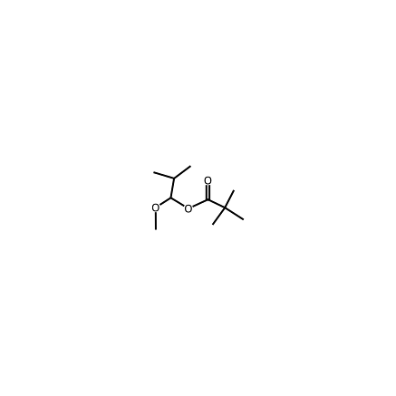 COC(OC(=O)C(C)(C)C)C(C)C